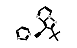 C#Cc1c(C(C)(C)C)nn2cccnc12.c1cncnc1